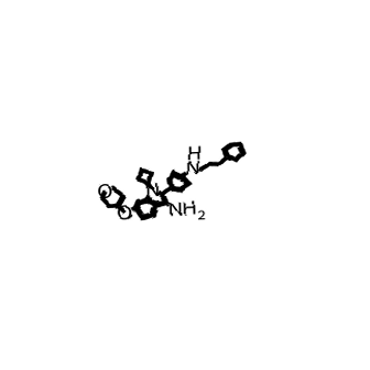 Nc1c(-c2ccc(NCCCc3ccccc3)cc2)n(C2CCC2)c2cc(OC3CCOCC3)ccc12